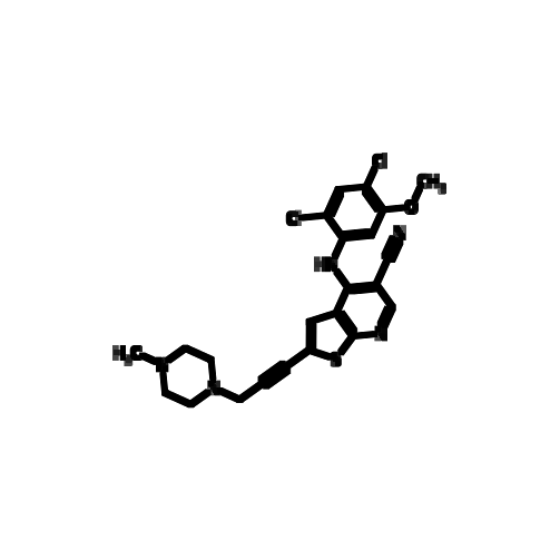 COc1cc(Nc2c(C#N)cnc3sc(C#CCN4CCN(C)CC4)cc23)c(Cl)cc1Cl